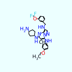 CCOc1ccc(Nc2c(C)c(N[C@H]3CC[C@H](N)CC3)nc3c(NCc4cccc(OC(F)F)c4)cnn23)cc1